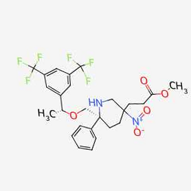 COC(=O)CCC1([N+](=O)[O-])CC[C@@](CO[C@H](C)c2cc(C(F)(F)F)cc(C(F)(F)F)c2)(c2ccccc2)NC1